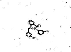 CC(C)c1cccc(NC(=O)c2cccnc2SCc2ccnc(N)n2)c1